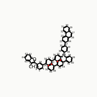 Cc1c(-c2cccc(-c3ccc(-c4ccc(N(c5ccc(-c6ccc7c(ccc8ccccc87)c6)cc5)c5ccccc5-c5ccc(-c6ccccc6)cc5)cc4)cc3)c2)oc2ccccc12